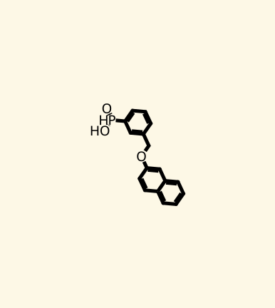 O=[PH](O)c1cccc(COc2ccc3ccccc3c2)c1